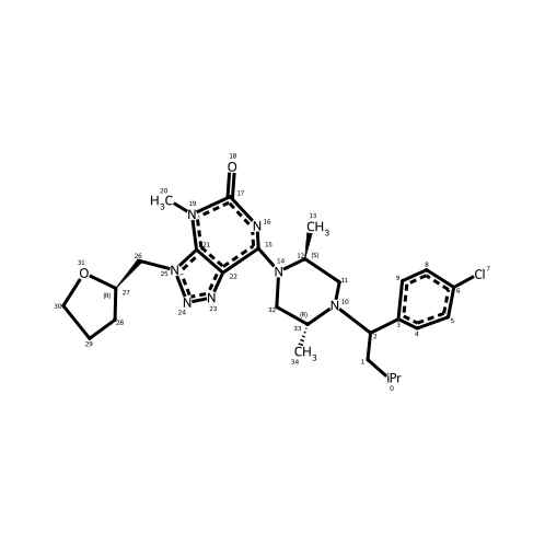 CC(C)CC(c1ccc(Cl)cc1)N1C[C@H](C)N(c2nc(=O)n(C)c3c2nnn3C[C@H]2CCCO2)C[C@H]1C